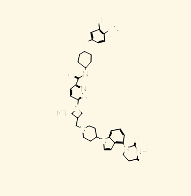 Cl.N#Cc1ccc(O[C@H]2CC[C@H](NC(=O)c3ccc(N4CC(CN5CCC(n6ccc7c(N8CCC(=O)NC8=O)cccc76)CC5)C4)nn3)CC2)cc1Cl